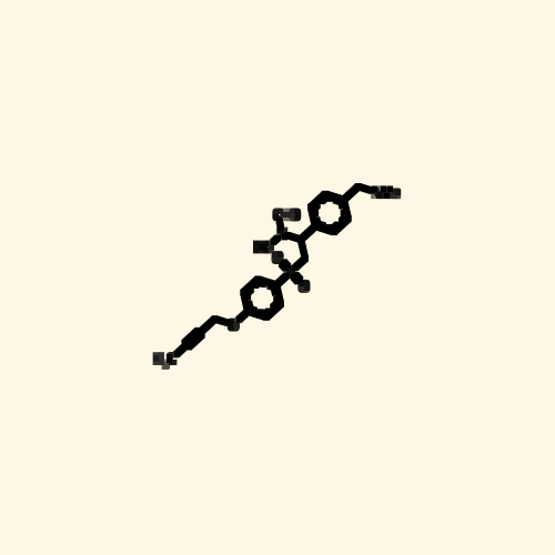 CC#CCOc1ccc(S(=O)(=O)CC(c2ccc(CNC)cc2)N(O)C=O)cc1